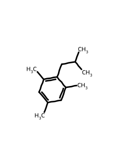 Cc1cc(C)c(CC(C)C)c(C)c1